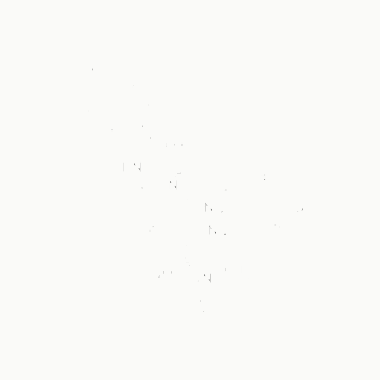 Cc1ccc(C(=O)Nc2ccc3c(C(=O)N(C)C)nn(Cc4ccccc4)c3n2)cc1